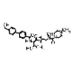 CCc1ccc(-c2ccc(C(=O)N[C@H](C(=O)NCCN(O)C(=O)N3CCN(C)CC3)[C@@H](C)O)cc2)cc1